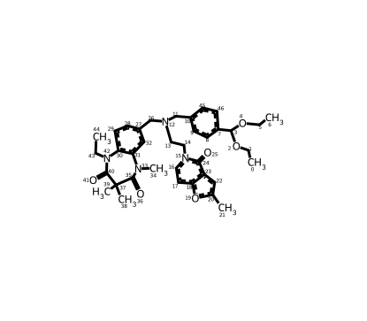 CCOC(OCC)c1ccc(CN(CCn2ccc3oc(C)cc3c2=O)Cc2ccc3c(c2)N(C)C(=O)C(C)(C)C(=O)N3CC)cc1